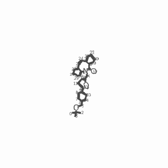 CC(C)(C)OCc1ccc(C2=CCC(CN3C(=O)c4ccccc4C#Cc4ccccc43)O2)cc1